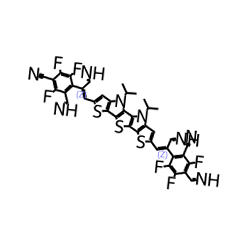 CC(C)n1c2cc(/C=C(\C=N)c3c(F)c(F)c(C=N)c(F)c3C#N)sc2c2sc3c4sc(/C=C(\C=N)c5c(F)c(F)c(C#N)c(F)c5C=N)cc4n(C(C)C)c3c21